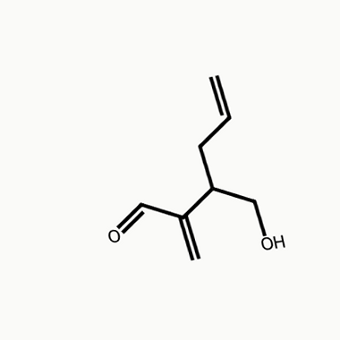 C=CCC(CO)C(=C)C=O